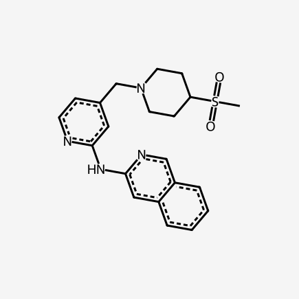 CS(=O)(=O)C1CCN(Cc2ccnc(Nc3cc4ccccc4cn3)c2)CC1